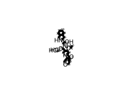 CCOc1cc(C(=O)N2C3CCC2COC3)ncc1C(=O)NCC(O)[C@@H]1Cc2ccccc2CN1.Cl.Cl